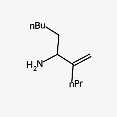 C=C(CCC)C(N)CCCCC